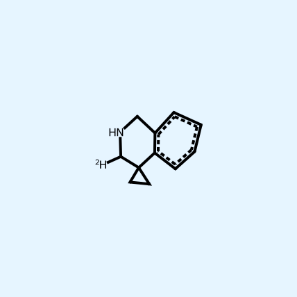 [2H]C1NCc2ccccc2C12CC2